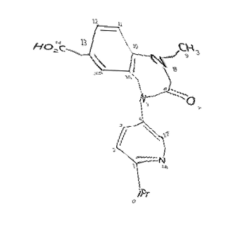 CC(C)c1ccc(-n2c(=O)n(C)c3ccc(C(=O)O)cc32)cn1